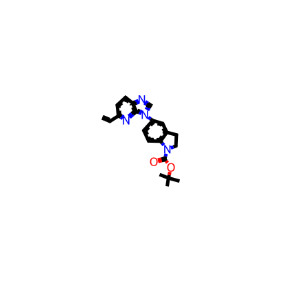 C=Cc1ccc2ncn(-c3ccc4c(c3)CCN4C(=O)OC(C)(C)C)c2n1